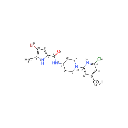 Cc1[nH]c(C(=O)NC2CCN(c3cc(C(=O)O)cc(Cl)n3)CC2)cc1Br